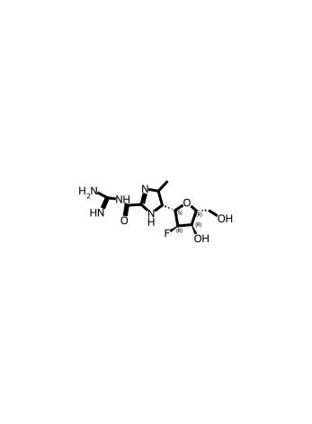 CC1N=C(C(=O)NC(=N)N)NC1[C@@H]1O[C@H](CO)[C@@H](O)[C@H]1F